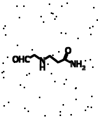 NC(=O)CCNCC=O